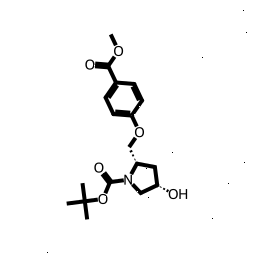 COC(=O)c1ccc(OC[C@@H]2C[C@H](O)CN2C(=O)OC(C)(C)C)cc1